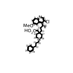 COc1ccc2ncc(Cl)c([C@H](F)CCC3(CC(=O)O)CCN(CCCc4ccccc4)CC3)c2c1